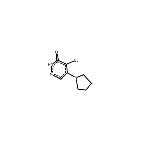 CCc1c(N2C[CH]CC2)cn[nH]c1=O